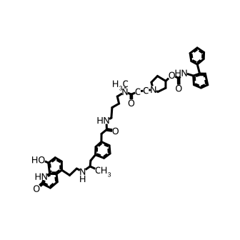 CC(Cc1cccc(CC(=O)NCCCCN(C)C(=O)CCN2CCC(OC(=O)Nc3ccccc3-c3ccccc3)CC2)c1)NCCc1ccc(O)c2[nH]c(=O)ccc12